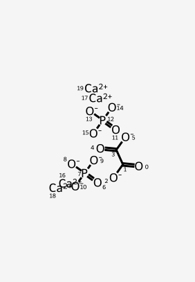 O=C([O-])C(=O)[O-].O=P([O-])([O-])[O-].O=P([O-])([O-])[O-].[Ca+2].[Ca+2].[Ca+2].[Ca+2]